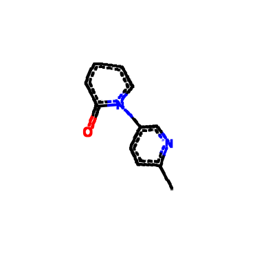 Cc1ccc(-n2ccccc2=O)cn1